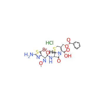 CON=C(C(=O)NC1C(=O)N2C(C(=O)O)=C(COC(=O)c3ccccc3)CS[C@@H]12)c1nc(N)sc1Br.Cl